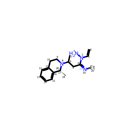 C=CN(N)/C(CC(C)N1CCc2ccccc2[C@H]1C)=N\CC